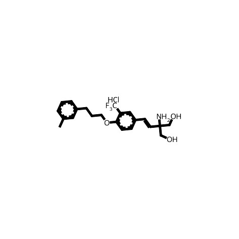 Cc1cccc(CCCOc2ccc(C=CC(N)(CO)CO)cc2C(F)(F)F)c1.Cl